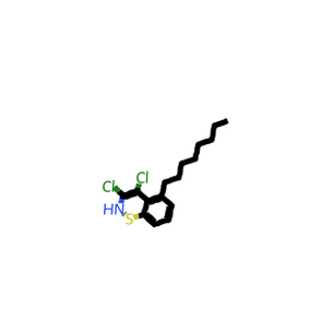 CCCCCCCCc1cccc2c1C(Cl)=C(Cl)NS2